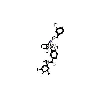 O=C(Nc1cc(F)c(F)c(F)c1)c1ccc(Cl)c(S(=O)(=O)[C@@H]2C3CCC2[C@@](O)(/C=N/OCc2cccc(F)c2)C3)c1